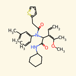 C=C/C(=C(\C)OC)C(C(=O)NC1CCCCC1)N(C(=O)Cc1cccs1)C(/C=C\C)=C/C(=C)C